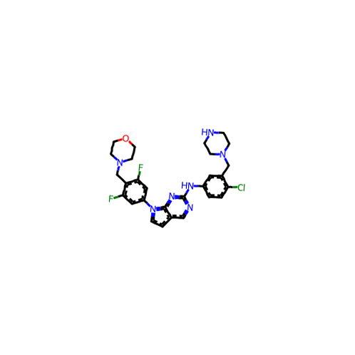 Fc1cc(-n2ccc3cnc(Nc4ccc(Cl)c(CN5CCNCC5)c4)nc32)cc(F)c1CN1CCOCC1